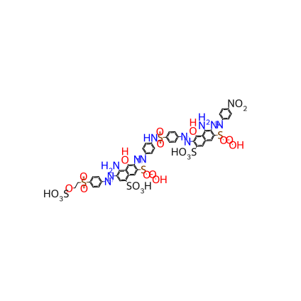 Nc1c(/N=N/c2ccc([N+](=O)[O-])cc2)c(SOOO)cc2cc(S(=O)(=O)O)c(/N=N/c3ccc(S(=O)(=O)Nc4ccc(/N=N/c5c(SOOO)cc6c(S(=O)(=O)O)cc(/N=N/c7ccc(S(=O)(=O)CCOS(=O)(=O)O)cc7)c(N)c6c5O)cc4)cc3)c(O)c12